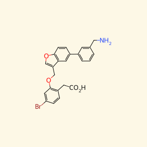 NCc1cccc(-c2ccc3occ(COc4cc(Br)ccc4CC(=O)O)c3c2)c1